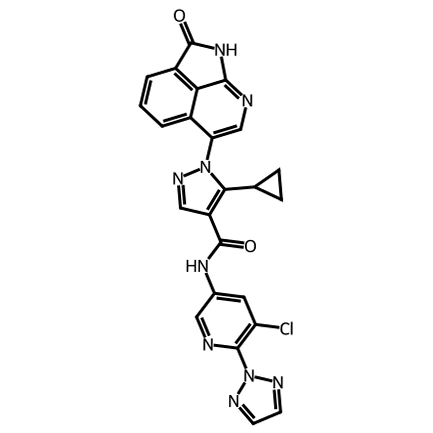 O=C(Nc1cnc(-n2nccn2)c(Cl)c1)c1cnn(-c2cnc3c4c(cccc24)C(=O)N3)c1C1CC1